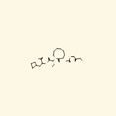 CC(=O)C(=O)C(CC1CCC1)NC(=O)[C@H](CC(C)C)N1CCCCCC[C@H](NC(=O)N[C@H](C(=O)CC(C)C)C(C)(C)C)C1=O